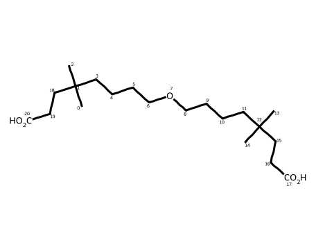 CC(C)(CCCCOCCCCC(C)(C)CCC(=O)O)CCC(=O)O